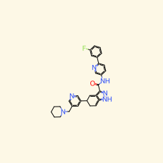 O=C(Nc1ccc(-c2cccc(F)c2)nc1)c1n[nH]c2c1=CC(c1cncc(CN3CCCCC3)c1)CC=2